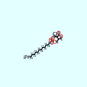 CC1=C2C(=O)OCC2COP(=O)(OCCCCCCCCCCCCC(C)C)O1